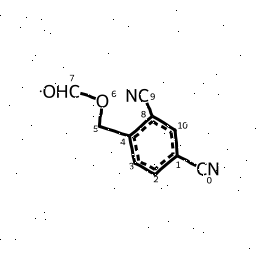 N#Cc1ccc(CO[C]=O)c(C#N)c1